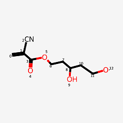 C=C(C#N)C(=O)OCCC(O)CC[O]